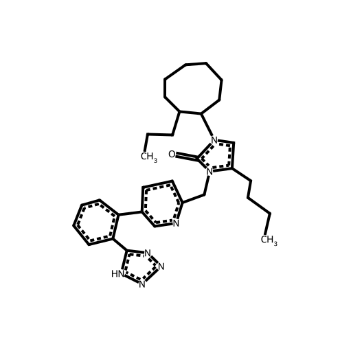 CCCCc1cn(C2CCCCCCC2CCC)c(=O)n1Cc1ccc(-c2ccccc2-c2nnn[nH]2)cn1